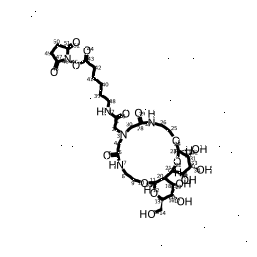 O=C(CN1CC(=O)NCCO[C@@H]2O[C@H](CO)[C@@H](O)[C@H](O)C2[C@@H]2O[C@@H](OCCNC(=O)C1)[C@@H](O)[C@H](O)[C@@H]2O)NCCCCCC(=O)ON1C(=O)CCC1=O